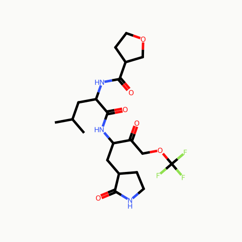 CC(C)CC(NC(=O)C1CCOC1)C(=O)NC(CC1CCNC1=O)C(=O)COC(F)(F)F